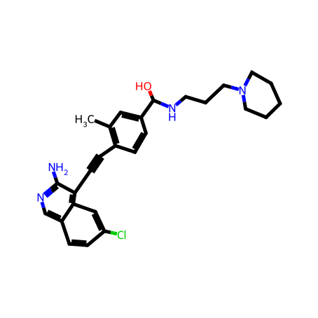 Cc1cc(C(O)NCCCN2CCCCC2)ccc1C#Cc1c(N)ncc2ccc(Cl)cc12